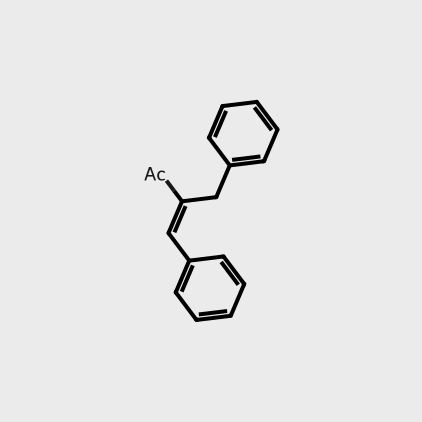 CC(=O)C(=Cc1ccccc1)Cc1ccccc1